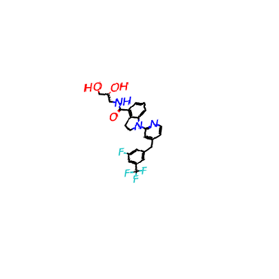 O=C(NC[C@@H](O)CO)c1cccc2c1CCN2c1cc(Cc2cc(F)cc(C(F)(F)F)c2)ccn1